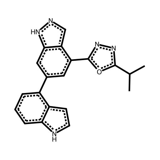 CC(C)c1nnc(-c2cc(-c3cccc4[nH]ccc34)cc3[nH]ncc23)o1